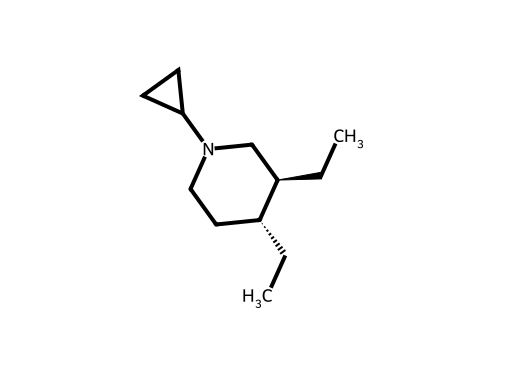 CC[C@@H]1CCN(C2CC2)C[C@H]1CC